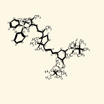 CC(C)C(CCC(C)C1(C)CCC(C=CC=C2CC(O[Si](C)(C)C(C)(C)C)CC(O[Si](C)(C)C(C)(C)C)C2)C1(C)C)O[Si](c1ccccc1)(c1ccccc1)C(C)(C)C